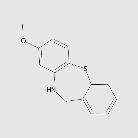 COc1ccc2c(c1)NCc1ccccc1S2